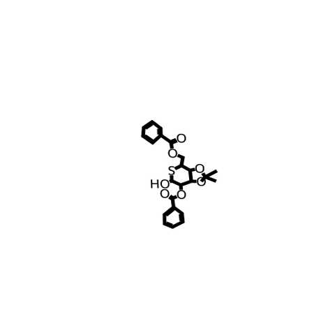 CC1(C)OC2C(COC(=O)c3ccccc3)SC(O)C(OC(=O)c3ccccc3)C2O1